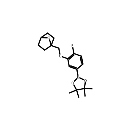 CC1(C)OB(c2ccc(F)c(OCC34CCC(CC3)O4)c2)OC1(C)C